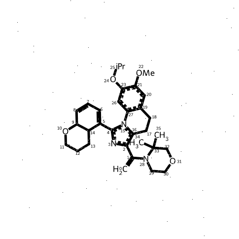 C=C(c1nc(C2=CC=CC3OCCCC23)n2c1CCc1cc(OC)c(OC(C)C)cc1-2)N1CCOCC1(C)C